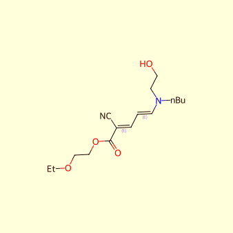 CCCCN(/C=C/C=C(\C#N)C(=O)OCCOCC)CCO